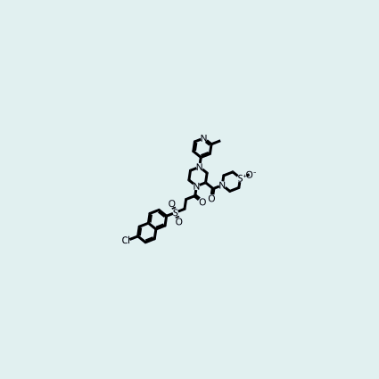 Cc1cc(N2CCN(C(=O)CCS(=O)(=O)c3ccc4cc(Cl)ccc4c3)C(C(=O)N3CC[S+]([O-])CC3)C2)ccn1